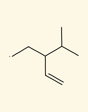 [CH2]CC(C=C)C(C)C